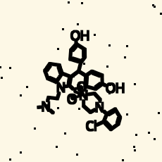 CN(C)CCn1c(S(=O)(=O)N2CCN(c3ccccc3Cl)CC2)c(C(c2ccc(O)cc2)c2ccc(O)cc2)c2ccccc21